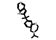 CC(C)N1CCOc2cc(C(C)(C)c3cc4cnccc4[nH]3)ccc2C1